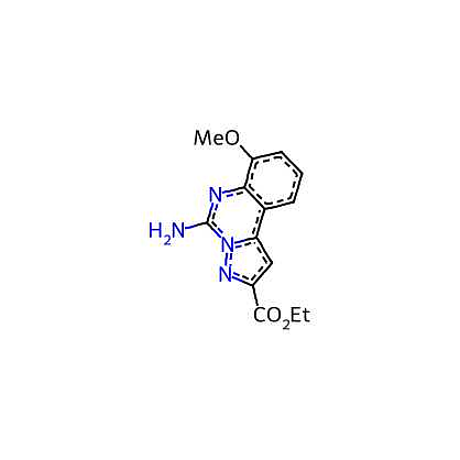 CCOC(=O)c1cc2c3cccc(OC)c3nc(N)n2n1